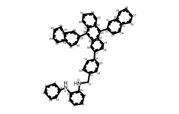 c1ccc(Nc2ccccc2NCc2ccc(-c3ccc4c(-c5ccc6ccccc6c5)c5ccccc5c(-c5ccc6ccccc6c5)c4c3)cc2)cc1